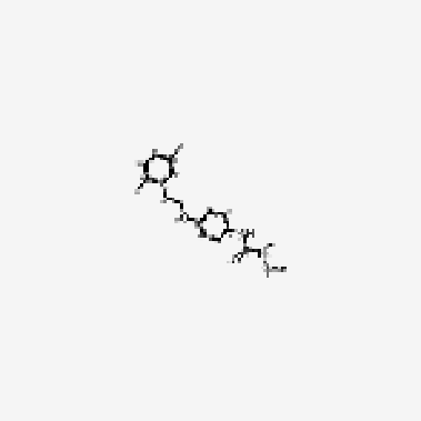 CON(C)C(=O)Nc1ccc(OCCc2cc(C)ccc2C)cc1